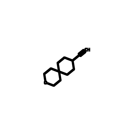 C#CC1CCC2(CCOCC2)CC1